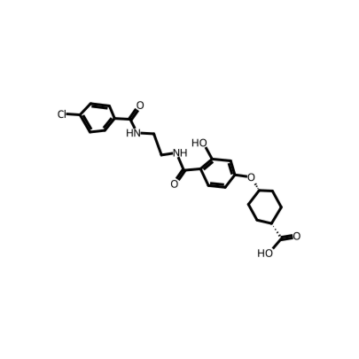 O=C(NCCNC(=O)c1ccc(O[C@H]2CC[C@@H](C(=O)O)CC2)cc1O)c1ccc(Cl)cc1